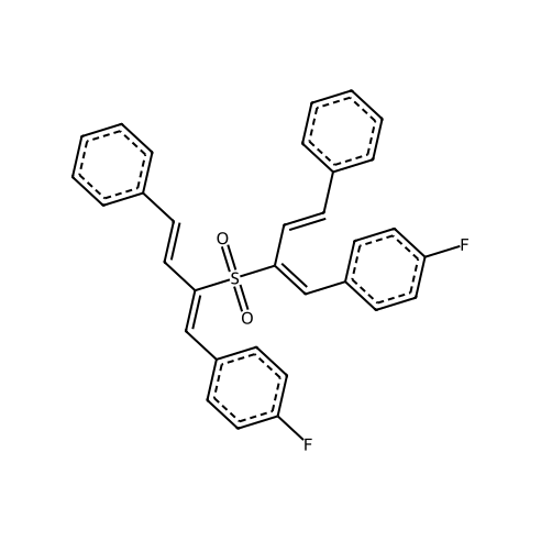 O=S(=O)(C(C=Cc1ccccc1)=Cc1ccc(F)cc1)C(C=Cc1ccccc1)=Cc1ccc(F)cc1